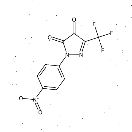 O=C1C(=O)N(c2ccc([N+](=O)[O-])cc2)N=C1C(F)(F)F